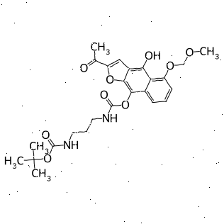 COCOc1cccc2c(OC(=O)NCCCNC(=O)OC(C)(C)C)c3oc(C(C)=O)cc3c(O)c12